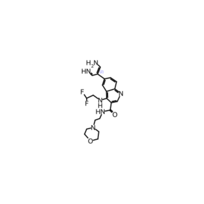 N=C/C(=C\N)c1ccc2ncc(C(=O)NCCN3CCOCC3)c(NCC(F)F)c2c1